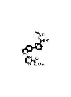 CCC[C@H](N[S+]([O-])C(C)(C)C)c1cccc(-c2ccc3cnn(-c4ccnc(C(=O)OC)n4)c3c2)n1